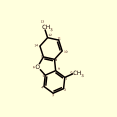 Cc1cccc2oc3c(c12)C=CC(C)C3